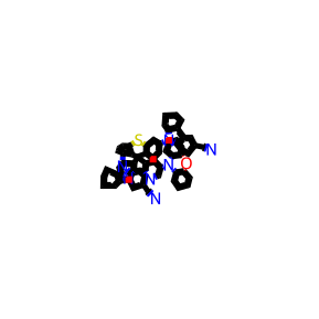 N#Cc1ccc2c(c1)c1ccccc1n2-c1ccc2c(c1)Sc1cccc(-n3c4ccccc4c4cc(C#N)ccc43)c1C21c2cccnc2-c2ncc(N3c4ccccc4Oc4ccccc43)cc21